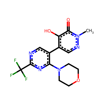 Cn1ncc(-c2cnc(C(F)(F)F)nc2N2CCOCC2)c(O)c1=O